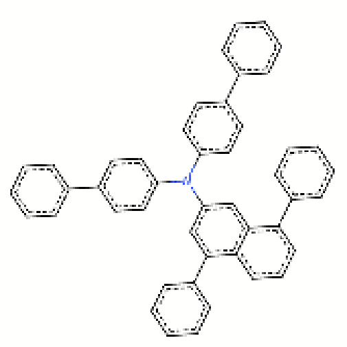 c1ccc(-c2ccc(N(c3ccc(-c4ccccc4)cc3)c3cc(-c4ccccc4)c4cccc(-c5ccccc5)c4c3)cc2)cc1